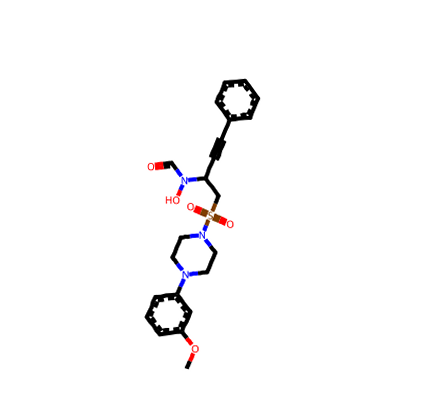 COc1cccc(N2CCN(S(=O)(=O)CC(C#Cc3ccccc3)N(O)C=O)CC2)c1